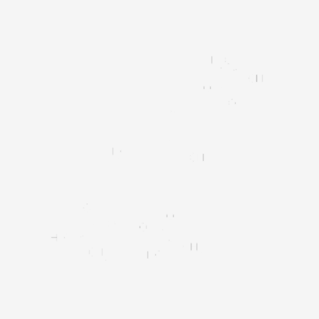 C=C(C)C(=O)Oc1ccc(-c2cc(C)c(-c3ccc(OC(=O)C(=C)C)c4c3CCC4)cc2C)cc1OC(=O)C(=C)C